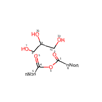 CCCCCCCCCC(=O)OC(=O)CCCCCCCCC.OCC(O)CO